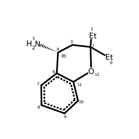 CCC1(CC)C[C@@H](N)c2ccccc2O1